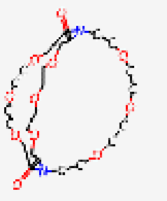 O=C1COCCOCCOCC(=O)N2CCOCCOCCOCCN1CCOCCOCCOCC2